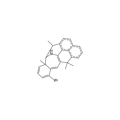 CC(C)C1=CC=CC2(C)C1=CC1=C3NC2C(C)c2ccc4cccc(c4c23)C1(C)C